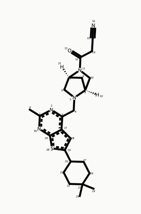 Cc1nc(CN2C[C@@H]3C[C@H]2CN3C(=O)CC#N)c2cc(C3CCC(C)(C)CC3)sc2n1